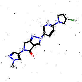 Cn1cc(N2Cc3nn(-c4ccc(N5CC[C@@H](F)C5)nc4)cc3C2=O)cn1